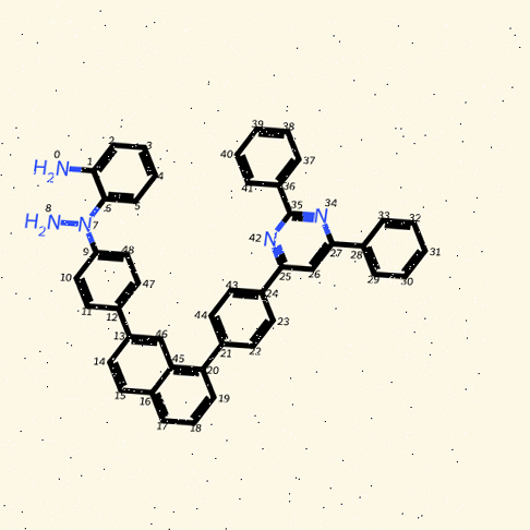 Nc1ccccc1N(N)c1ccc(-c2ccc3cccc(-c4ccc(-c5cc(-c6ccccc6)nc(-c6ccccc6)n5)cc4)c3c2)cc1